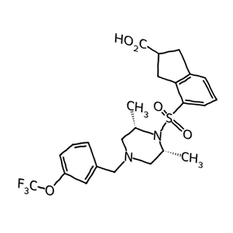 C[C@@H]1CN(Cc2cccc(OC(F)(F)F)c2)C[C@H](C)N1S(=O)(=O)c1cccc2c1CC(C(=O)O)C2